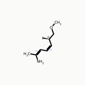 COC[C@H](I)/C=C\C=C(\C)N